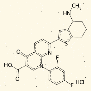 CNC1CCCc2sc(-c3ccc4c(=O)c(C(=O)O)cn(-c5ccc(F)cc5F)c4n3)cc21.Cl